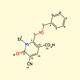 CCn1c(COCc2ccccc2)c(C(=O)O)cc(C#N)c1=O